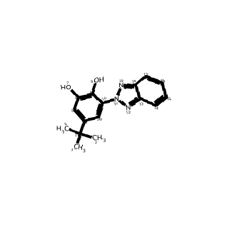 CC(C)(C)c1cc(O)c(O)c(-n2nc3ccccc3n2)c1